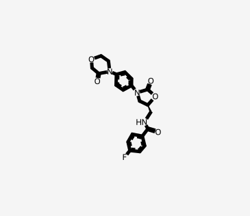 O=C(NC[C@H]1CN(c2ccc(N3CCOCC3=O)cc2)C(=O)O1)c1ccc(F)cc1